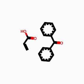 C=CC(=O)O.O=C(c1ccccc1)c1ccccc1